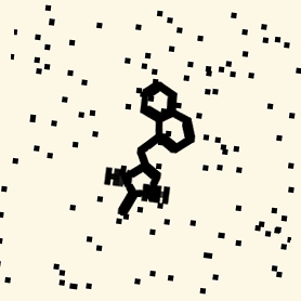 C=C1NC=C(Cc2cccc3ccccc23)N1